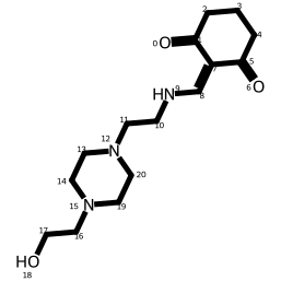 O=C1CCCC(=O)C1=CNCCN1CCN(CCO)CC1